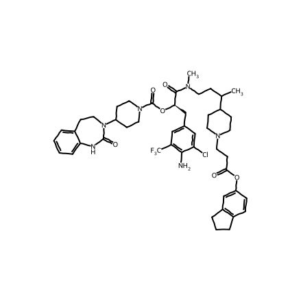 CC(CCN(C)C(=O)[C@@H](Cc1cc(Cl)c(N)c(C(F)(F)F)c1)OC(=O)N1CCC(N2CCc3ccccc3NC2=O)CC1)C1CCN(CCC(=O)Oc2ccc3c(c2)CCC3)CC1